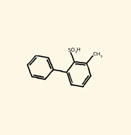 Cc1cccc(-c2ccccc2)c1S(=O)(=O)O